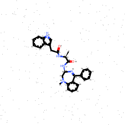 C[C@H](NC(=O)Cc1c[nH]c2ccccc12)C(=O)N[C@@H]1CN(C)c2ccccc2C(c2ccccc2)=N1